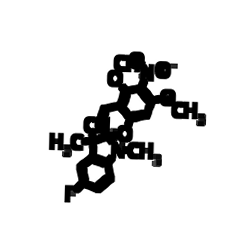 COc1cc2c(c(OC)c1[N+](=O)[O-])C=CC1(O2)N(C)c2ccc(F)cc2C1(C)C